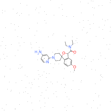 CCN(CC)C(=O)C1OC2(CCN(c3cc(N)ccn3)CC2)c2ccc(OC)cc21